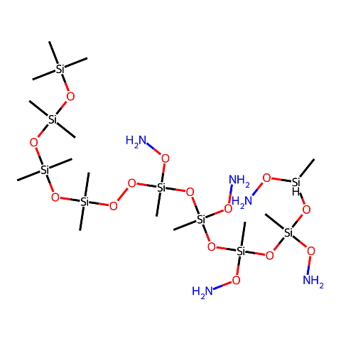 C[SiH](ON)O[Si](C)(ON)O[Si](C)(ON)O[Si](C)(ON)O[Si](C)(ON)OO[Si](C)(C)O[Si](C)(C)O[Si](C)(C)O[Si](C)(C)C